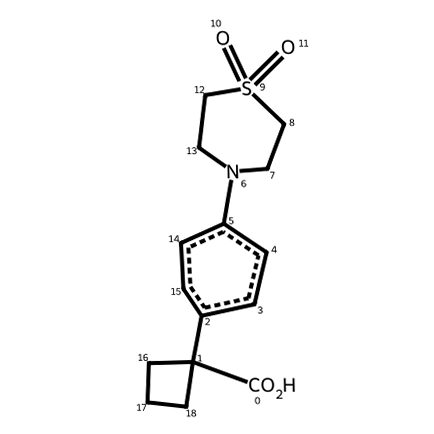 O=C(O)C1(c2ccc(N3CCS(=O)(=O)CC3)cc2)CCC1